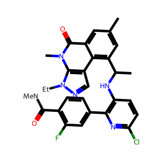 CCn1ncc2c3c(C(C)Nc4ccc(Cl)nc4-c4ccc(C(=O)NC)c(F)c4)cc(C)cc3c(=O)n(C)c21